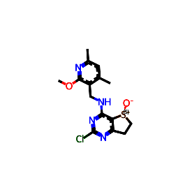 COc1nc(C)cc(C)c1CNc1nc(Cl)nc2c1[S@+]([O-])CC2